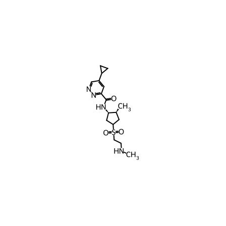 CNCCS(=O)(=O)C1C[C@H](C)[C@H](NC(=O)c2cc(C3CC3)cnn2)C1